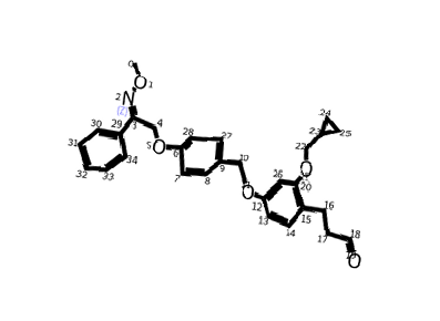 CO/N=C(\COc1ccc(COc2ccc(CCC=O)c(OCC3CC3)c2)cc1)c1ccccc1